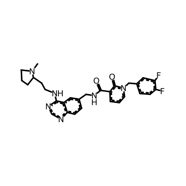 CN1CCCC1CCNc1ncnc2ccc(CNC(=O)c3cccn(Cc4ccc(F)c(F)c4)c3=O)cc12